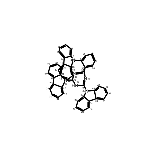 c1ccc(-n2c3ccccc3c3ccccc32)c(C2=NC(n3c4ccccc4c4ccccc43)NC(n3c4ccccc4c4ccccc43)=N2)c1